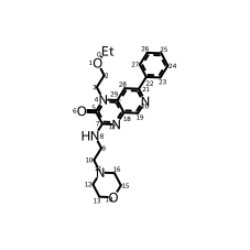 CCOCCn1c(=O)c(NCCN2CCOCC2)nc2cnc(-c3ccccc3)cc21